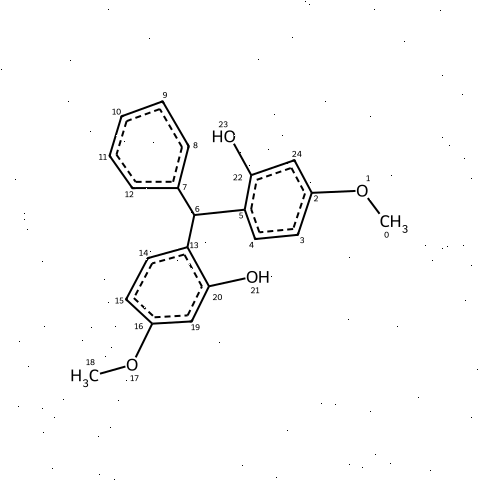 COc1ccc(C(c2ccccc2)c2ccc(OC)cc2O)c(O)c1